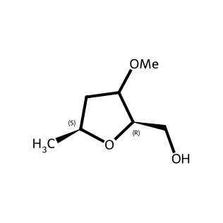 COC1C[C@H](C)O[C@@H]1CO